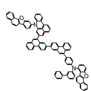 c1ccc(-c2cccc(N(c3ccc(-c4cc5cc(-c6ccc7c(c6)c(-c6cccc(N(c8ccc9c(c8)oc8c%10ccccc%10ccc98)c8ccccc8-c8ccccc8)c6)cc6ccccc67)ccc5c5ccccc45)cc3)c3cccc4oc5c6ccccc6ccc5c34)c2)cc1